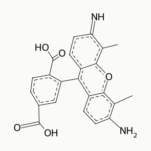 Cc1c2oc3c(C)c(N)ccc3c(-c3cc(C(=O)O)ccc3C(=O)O)c-2ccc1=N